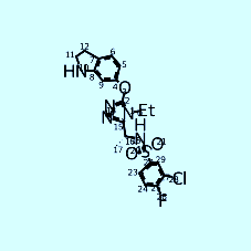 CCn1c(Oc2ccc3c(c2)NCC3)nnc1[C@@H](C)NS(=O)(=O)c1ccc(F)c(Cl)c1